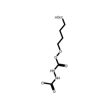 CCCCCCCCCCCCOOC(=O)NNC(=O)Cl